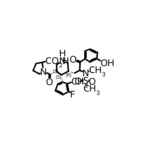 Cc1c(F)cccc1[C@H]1[C@@H](CC(C(=O)c2cccc(O)c2)N(C)S(C)(=O)=O)CNC[C@H]1C(=O)N1CCCC1C(=O)O